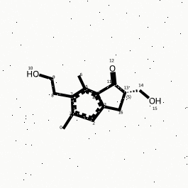 Cc1cc2c(c(C)c1CCO)C(=O)[C@H](CO)C2